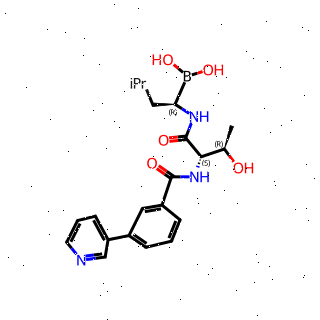 CC(C)C[C@H](NC(=O)[C@@H](NC(=O)c1cccc(-c2cccnc2)c1)[C@@H](C)O)B(O)O